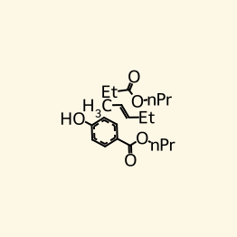 CC=CCC.CCCOC(=O)CC.CCCOC(=O)c1ccc(O)cc1